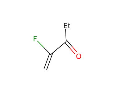 C=C(F)C(=O)CC